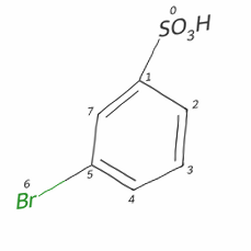 O=S(=O)(O)c1cccc(Br)c1